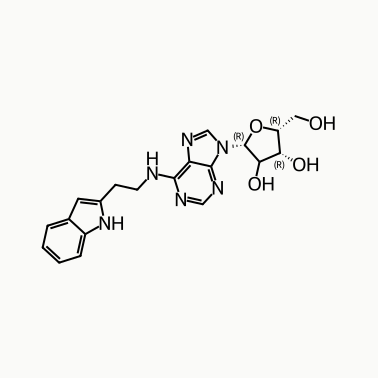 OC[C@H]1O[C@@H](n2cnc3c(NCCc4cc5ccccc5[nH]4)ncnc32)C(O)[C@H]1O